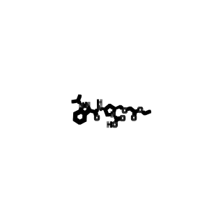 CCOC(=O)COC[C@@H]1C[C@H](NC(=O)c2nn(C(C)C)c3ccccc23)CN1C(=O)O